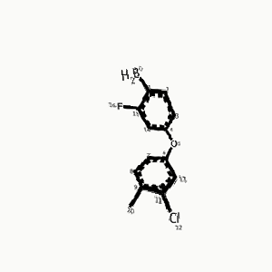 Bc1ccc(Oc2ccc(C)c(Cl)c2)cc1F